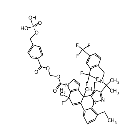 CCc1cccc2c1-n1nc3c(c1C1(C)C2=CC(C)(F)c2c1ccn2C(=O)OCOC(=O)c1ccc(COP(=O)(O)O)cc1)CN(Cc1ccc(C(F)(F)F)cc1C(F)(F)F)C3(C)C